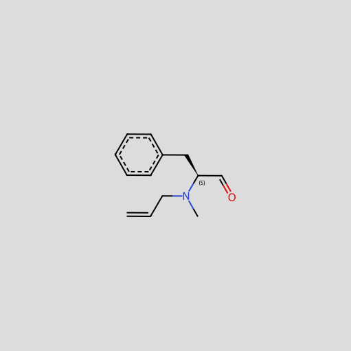 C=CCN(C)[C@H](C=O)Cc1ccccc1